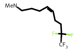 CNCCC/C=C\CCC(F)(F)C(F)(F)F